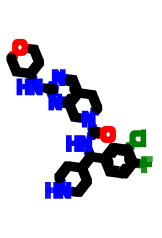 O=C(NC(c1ccc(F)c(Cl)c1)C1CCNCC1)N1CCc2cnc(NC3CCOCC3)nc2C1